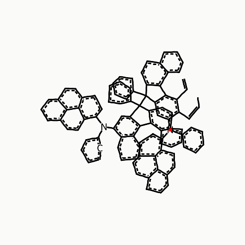 C=Cc1c(/C=C\C)c(N(c2ccccc2)c2ccc3ccc4cccc5ccc2c3c45)cc2c1-c1c(ccc3ccccc13)C2(c1ccccc1)C1(c2ccccc2)c2ccc3ccccc3c2-c2c1cc(N(c1ccccc1)c1ccc3ccc4cccc5ccc1c3c45)c1ccccc21